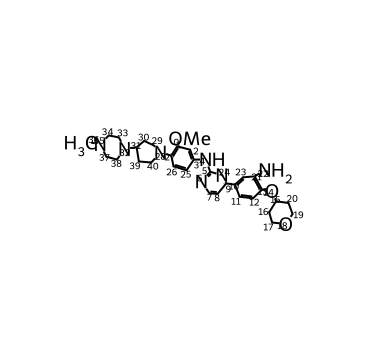 COc1cc(Nc2nccc(-c3ccc(OC4CCOCC4)c(N)c3)n2)ccc1N1CCC(N2CCN(C)CC2)CC1